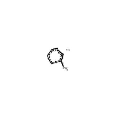 Pc1ccccc1.[Pt]